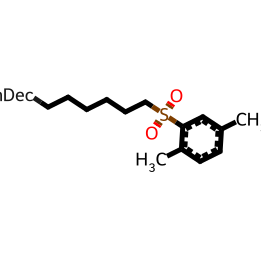 CCCCCCCCCCCCCCCCS(=O)(=O)c1cc(C)ccc1C